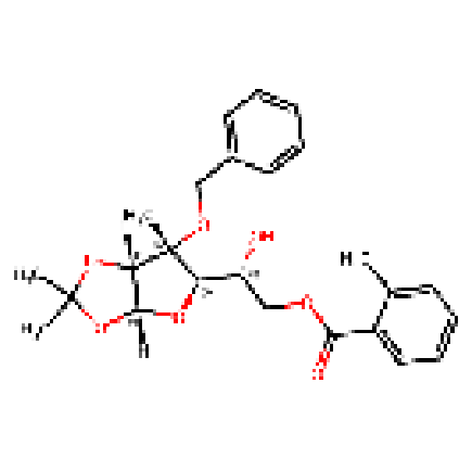 Cc1ccccc1C(=O)OC[C@@H](O)[C@H]1O[C@@H]2OC(C)(C)O[C@@H]2[C@]1(C)OCc1ccccc1